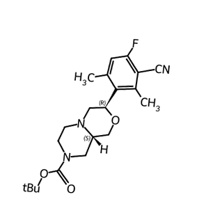 Cc1cc(F)c(C#N)c(C)c1[C@@H]1CN2CCN(C(=O)OC(C)(C)C)C[C@H]2CO1